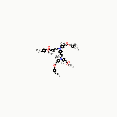 C=CC(=C)/C=C\C(=C)COC(=O)CCc1ccc(N(/C=C/C=C(\C=C)CCC(=O)OCc2ccc(C=C)cc2)c2ccc(C(=C)/C=C\C(=C)N(c3ccc(CCC(=O)OC)c(C)c3)C3C=CC(CCC(=O)OCc4ccc(C=C)cc4)=CC3)cc2)cc1C